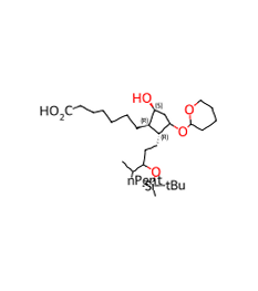 CCCCCC(C)C(CC[C@H]1C(OC2CCCCO2)C[C@H](O)[C@@H]1CCCCCCC(=O)O)O[Si](C)(C)C(C)(C)C